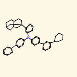 c1ccc(-c2ccc(N(c3ccc(-c4cccc(C5CCCCC5)c4)cc3)c3cccc(C45CCC6CCC(CC6C4)C5)c3)cc2)cc1